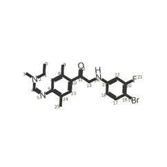 CCN(C)/C=N\c1cc(C)c(C(=O)CNc2ccc(Br)c(F)c2)cc1C